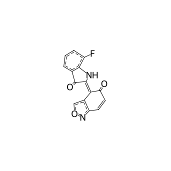 O=C1C=Cc2nocc2C1=C1Nc2c(F)cccc2C1=O